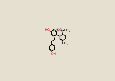 C=C(C)C1CCC(C)=CC1c1c(O)cc(O)cc1CCc1ccc(O)cc1